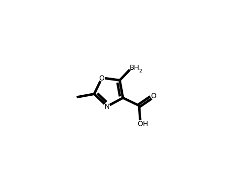 Bc1oc(C)nc1C(=O)O